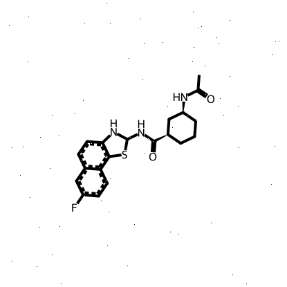 CC(=O)N[C@H]1CCC[C@@H](C(=O)NC2Nc3ccc4cc(F)ccc4c3S2)C1